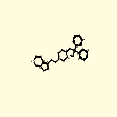 OC(CC1CCN(CCC2=C3C=COC=C3CC2)CC1)(c1ccccc1)c1ccccc1